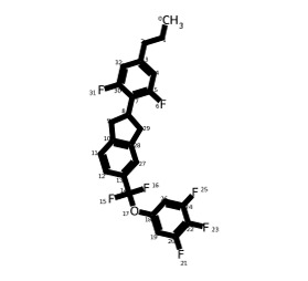 CCCc1cc(F)c(C2Cc3ccc(C(F)(F)Oc4cc(F)c(F)c(F)c4)cc3C2)c(F)c1